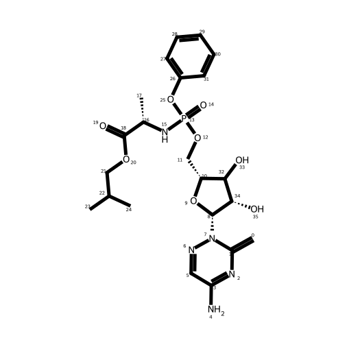 C=C1N=C(N)C=NN1[C@@H]1O[C@H](COP(=O)(N[C@@H](C)C(=O)OCC(C)C)Oc2ccccc2)C(O)[C@@H]1O